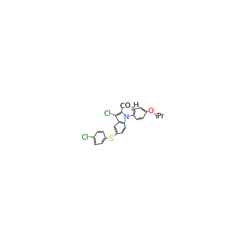 CC(C)Oc1ccc(-n2c(C(=O)O)c(Cl)c3cc(Sc4ccc(Cl)cc4)ccc32)cc1